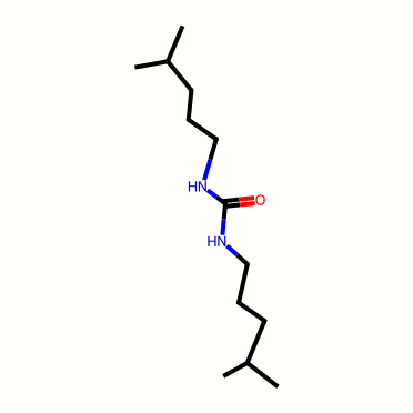 CC(C)CCCNC(=O)NCCCC(C)C